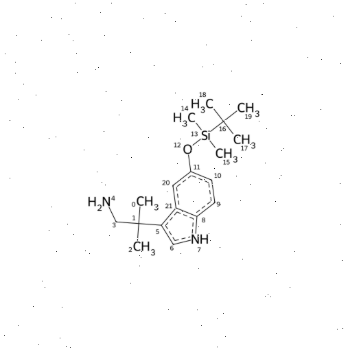 CC(C)(CN)c1c[nH]c2ccc(O[Si](C)(C)C(C)(C)C)cc12